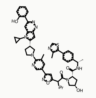 Cc1cc(-c2cc(C(C(=O)N3C[C@H](O)C[C@H]3C(=O)N[C@@H](C)c3ccc(-c4scnc4C)cc3)C(C)C)on2)cnc1N1CC[C@H](c2cc3nnc(-c4ccccc4O)cc3n2C2CC2)C1